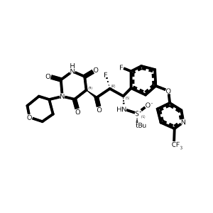 CC(C)(C)[S@@+]([O-])N[C@@H](c1cc(Oc2ccc(C(F)(F)F)nc2)ccc1F)[C@@H](F)C(=O)[C@@H]1C(=O)NC(=O)N(C2CCOCC2)C1=O